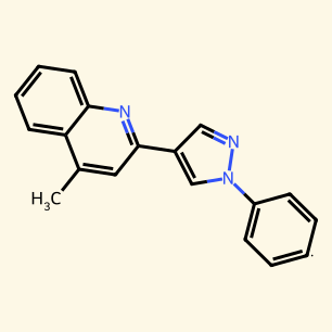 Cc1cc(-c2cnn(-c3cc[c]cc3)c2)nc2ccccc12